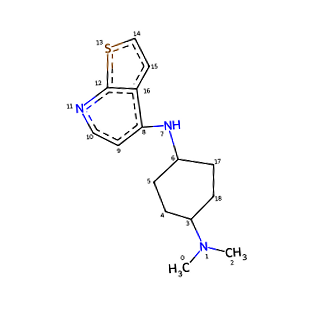 CN(C)C1CCC(Nc2ccnc3sccc23)CC1